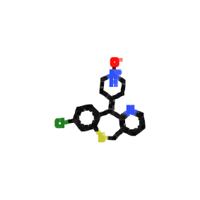 [O-][NH+]1CCC(=C2c3ccc(Cl)cc3SCc3cccnc32)CC1